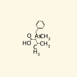 CC(C)C(C(=O)O)[As](C)Cc1ccccc1